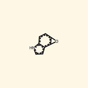 c1cc2c3c(ccc2[nH]1)O3